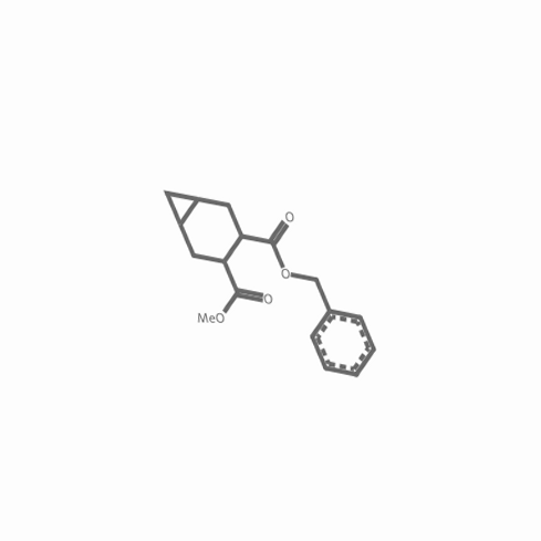 COC(=O)C1CC2CC2CC1C(=O)OCc1ccccc1